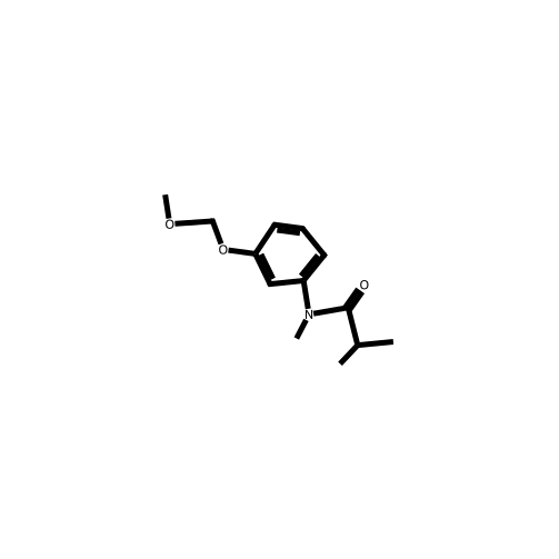 COCOc1cccc(N(C)C(=O)C(C)C)c1